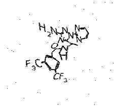 CC(NC(=O)c1cc(C(F)(F)F)cc(C(F)(F)F)c1)c1nc(N)nn1-c1ncccn1